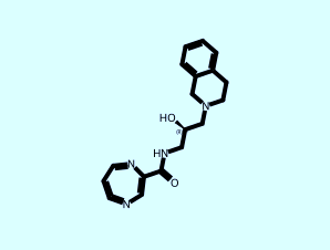 O=C(NC[C@@H](O)CN1CCc2ccccc2C1)C1=CN=C=CC=N1